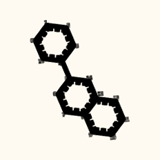 [c]1cccc(-c2ccc3c[c]ccc3c2)c1